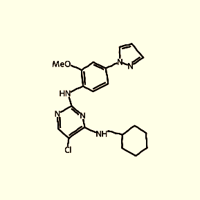 COc1cc(-n2cccn2)ccc1Nc1ncc(Cl)c(NCC2CCCCC2)n1